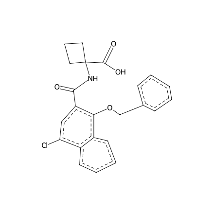 O=C(NC1(C(=O)O)CCC1)c1cc(Cl)c2ccccc2c1OCc1ccccc1